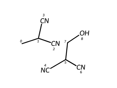 CC(C#N)C#N.N#CC(C#N)CO